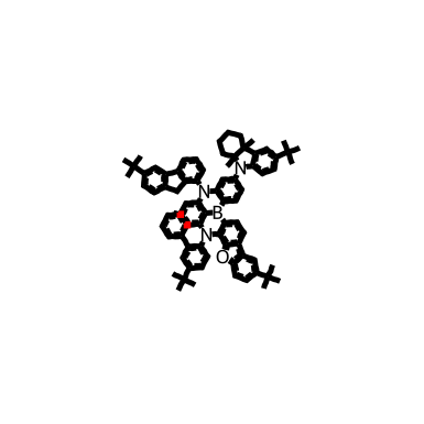 Cc1cc2c3c(c1)N(c1ccc(C(C)(C)C)cc1-c1ccccc1)c1c(ccc4c1oc1ccc(C(C)(C)C)cc14)B3c1ccc(N3c4ccc(C(C)(C)C)cc4C4(C)CCCCC34C)cc1N2c1cccc2c1Cc1ccc(C(C)(C)C)cc1-2